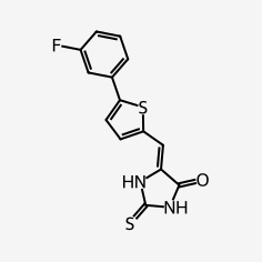 O=C1NC(=S)N/C1=C\c1ccc(-c2cccc(F)c2)s1